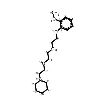 COc1ccccc1OCCOCCOCCN1CCCCC1